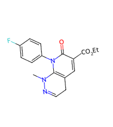 CCOC(=O)c1cc2c(n(-c3ccc(F)cc3)c1=O)N(C)N=CC2